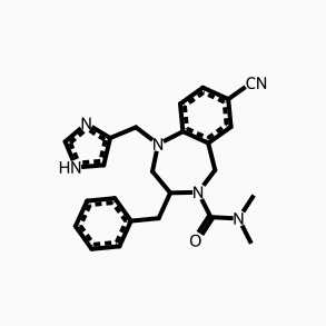 CN(C)C(=O)N1Cc2cc(C#N)ccc2N(Cc2c[nH]cn2)CC1Cc1ccccc1